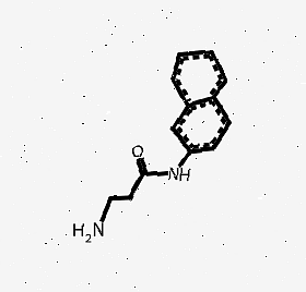 NCCC(=O)Nc1ccc2ccccc2c1